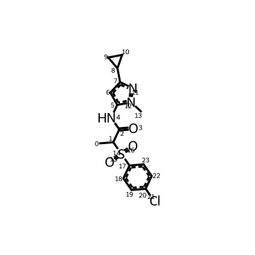 CC(C(=O)Nc1cc(C2CC2)nn1C)S(=O)(=O)c1ccc(Cl)cc1